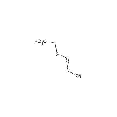 N#CC=CSCC(=O)O